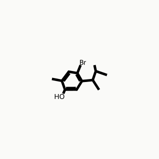 Cc1cc(Br)c(C(C)C(C)C)cc1O